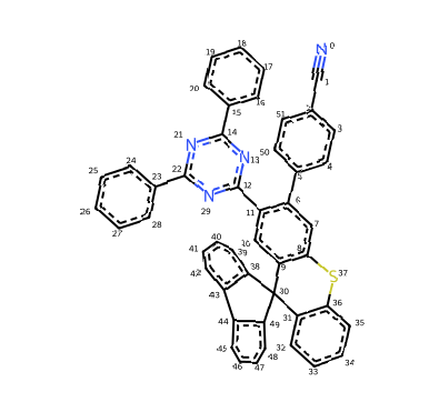 N#Cc1ccc(-c2cc3c(cc2-c2nc(-c4ccccc4)nc(-c4ccccc4)n2)C2(c4ccccc4S3)c3ccccc3-c3ccccc32)cc1